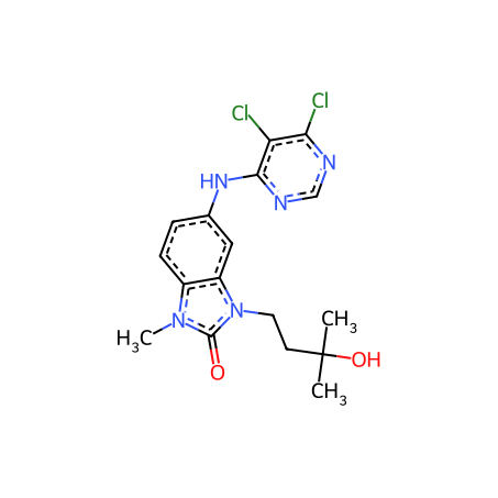 Cn1c(=O)n(CCC(C)(C)O)c2cc(Nc3ncnc(Cl)c3Cl)ccc21